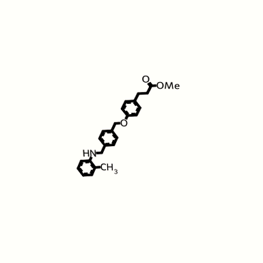 COC(=O)CCc1ccc(OCc2ccc(CNc3ccccc3C)cc2)cc1